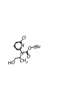 CC(CO)N(C(=O)OC(C)(C)C)c1cccc(Cl)n1